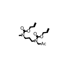 C=CCOC(=O)N(C)CCCN(CC(C)=O)C(=O)OCC=C